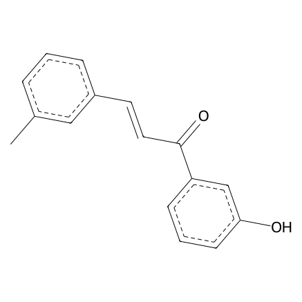 Cc1cccc(C=CC(=O)c2cccc(O)c2)c1